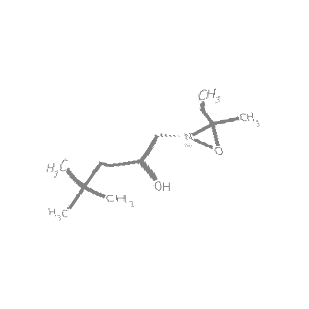 CC(C)(C)CC(O)C[N@@]1OC1(C)C